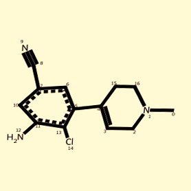 CN1CC=C(c2cc(C#N)cc(N)c2Cl)CC1